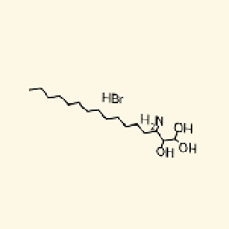 Br.CCCCCCCCCCCCCC(N)C(O)C(O)O